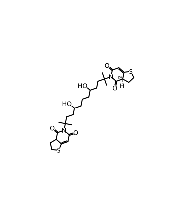 CC(C)(CCC(O)CCCC(O)CCC(C)(C)N1C(=O)C=C2SCC[C@H]2C1=O)N1C(=O)C=C2SCCC2C1=O